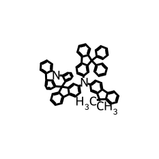 CC1(C)c2ccccc2-c2ccc(N(c3ccc4c(c3)C(c3ccccc3)(c3ccccc3)c3ccccc3-4)c3ccc4c(c3)C3(c5ccccc5-4)c4ccccc4-n4c5ccccc5c5cccc3c54)cc21